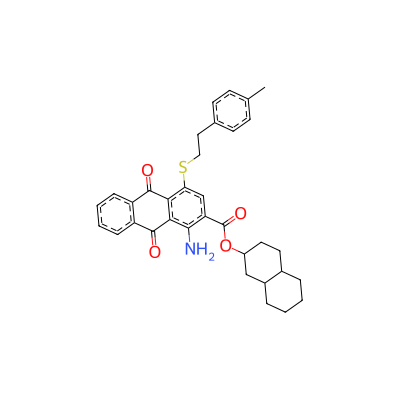 Cc1ccc(CCSc2cc(C(=O)OC3CCC4CCCCC4C3)c(N)c3c2C(=O)c2ccccc2C3=O)cc1